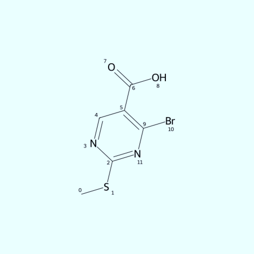 CSc1ncc(C(=O)O)c(Br)n1